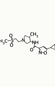 CC1CN(CCS(C)(=O)=O)CC1NC(=O)c1cc(C2CC2)on1